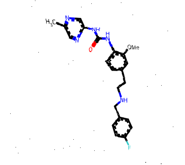 COc1cc(CCNCc2ccc(F)cc2)ccc1NC(=O)Nc1cnc(C)cn1